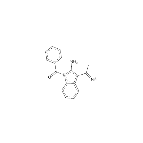 CC(=N)c1c(N)n(C(=O)c2ccccc2)c2ccccc12